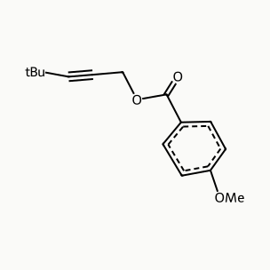 COc1ccc(C(=O)OCC#CC(C)(C)C)cc1